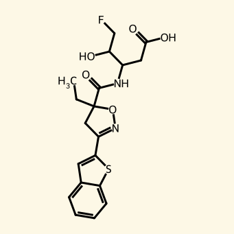 CCC1(C(=O)NC(CC(=O)O)C(O)CF)CC(c2cc3ccccc3s2)=NO1